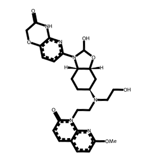 COc1ccc2ccc(=O)n(CCN(CCO)[C@H]3CC[C@H]4[C@@H](C3)OC(O)N4c3ccc4c(n3)NC(=O)CO4)c2n1